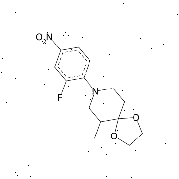 CC1CN(c2ccc([N+](=O)[O-])cc2F)CCC12OCCO2